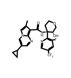 Cc1cn2cc(C3CC3)cnc2c1C(=O)N[C@@]1(c2ncc(C(F)(F)F)cc2F)CCOC[C@@H]1O